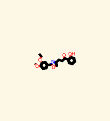 CCOc1cc(-c2nc(CCC(=O)c3ccccc3O)co2)ccc1OC